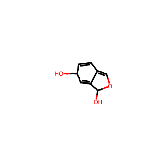 OC1C=CC2=COC(O)C2=C1